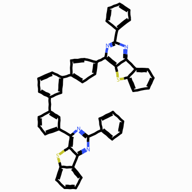 c1ccc(-c2nc(-c3ccc(-c4cccc(-c5cccc(-c6nc(-c7ccccc7)nc7c6sc6ccccc67)c5)c4)cc3)c3sc4ccccc4c3n2)cc1